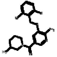 Nc1ncc(C(=O)N2CCCC(O)C2)cc1OCc1c(Cl)cccc1Cl